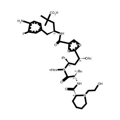 CCCCCCN(C(=O)[C@@H](NC(=O)[C@H]1CCCCN1CCO)[C@@H](C)CC)[C@H](C[C@@H](OC(C)=O)c1nc(C(=O)N[C@@H](Cc2ccc(N)c(F)c2)CC(C)(C)C(=O)O)cs1)C(C)C